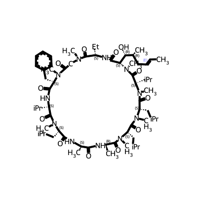 C/C=C/C[C@@H](C)[C@@H](O)[C@H]1C(=O)N[C@@H](CC)C(=O)N(C)CC(=O)N(C)[C@@H](Cc2ccccc2)C(=O)N[C@@H](C(C)C)C(=O)N(C)[C@@H](CC(C)C)C(=O)N[C@@H](C)C(=O)N[C@H](C)C(=O)N(C)[C@@H](CC(C)C)C(=O)N(C)[C@@H](CC(C)C)C(=O)N(C)[C@@H](C(C)C)C(=O)N1C